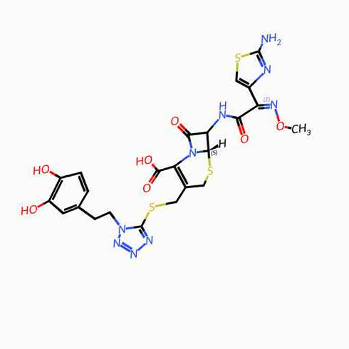 CO/N=C(\C(=O)NC1C(=O)N2C(C(=O)O)=C(CSc3nnnn3CCc3ccc(O)c(O)c3)CS[C@@H]12)c1csc(N)n1